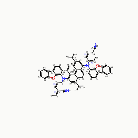 C/C=C(C#N)\C=C/CN(c1cc(C(C)C)c2ccc3c(N(C(/C=C\CC#N)=C/C)c4cccc5c4oc4ccccc45)cc(C(C)C)c4ccc1c2c43)c1cccc2c1oc1ccccc12